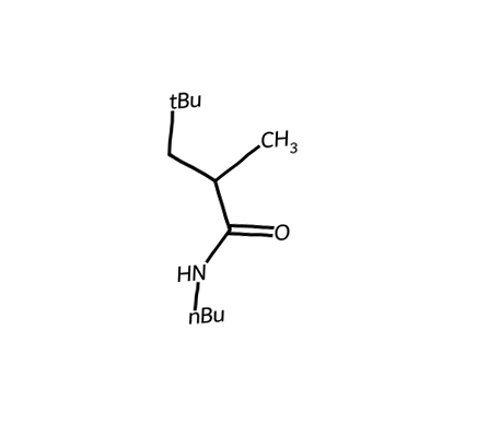 CCCCNC(=O)C(C)CC(C)(C)C